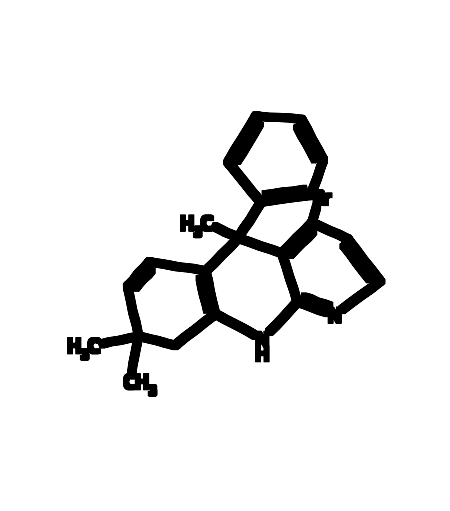 CC1(C)C=CC2=C(C1)Nc1nccc(Br)c1C2(C)c1ccccc1